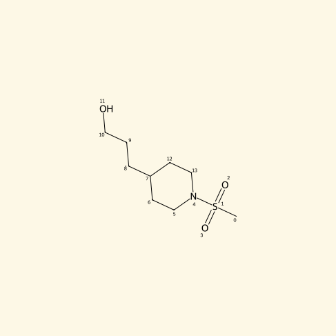 CS(=O)(=O)N1CCC([CH]CCO)CC1